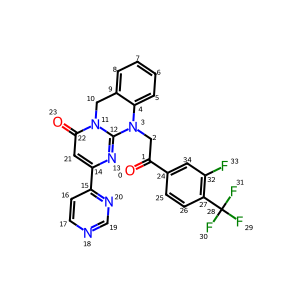 O=C(CN1c2ccccc2Cn2c1nc(-c1ccncn1)cc2=O)c1ccc(C(F)(F)F)c(F)c1